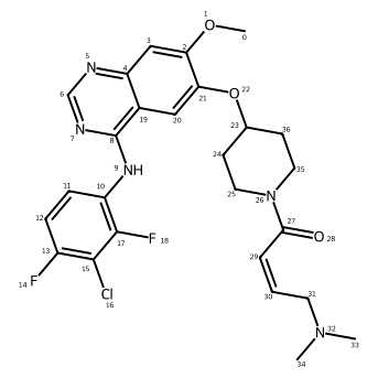 COc1cc2ncnc(Nc3ccc(F)c(Cl)c3F)c2cc1OC1CCN(C(=O)/C=C\CN(C)C)CC1